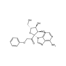 Nc1ncnc2c1ncn2[C@]1(C(=O)COc2ccccc2)O[C@H](CO)[C@@H](O)[C@H]1[N+](=O)[O-]